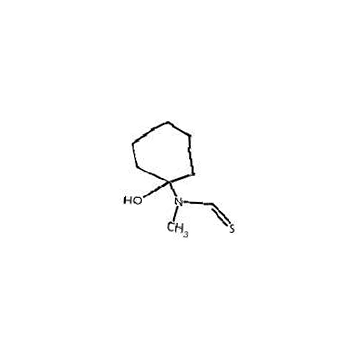 CN(C=S)C1(O)CCCCC1